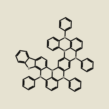 c1ccc(N2c3ccccc3B3c4cc5c(cc4N(c4ccccc4)c4cccc2c43)N(c2ccccc2)c2cccc3c2B5c2ccc4c(sc5ccccc54)c2N3c2ccccc2)cc1